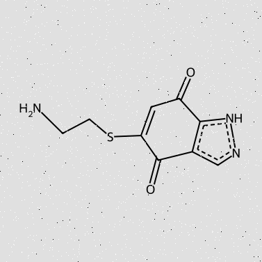 NCCSC1=CC(=O)c2[nH]ncc2C1=O